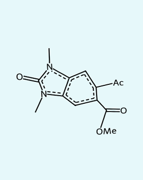 COC(=O)c1cc2c(cc1C(C)=O)n(C)c(=O)n2C